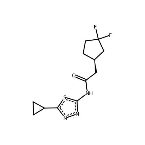 O=C(C[C@H]1CCC(F)(F)C1)Nc1nnc(C2CC2)s1